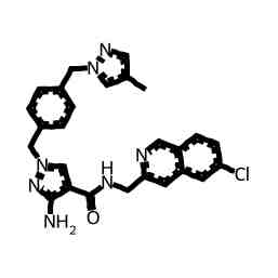 Cc1cnn(Cc2ccc(Cn3cc(C(=O)NCc4cc5cc(Cl)ccc5cn4)c(N)n3)cc2)c1